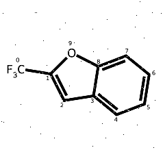 FC(F)(F)c1cc2ccccc2o1